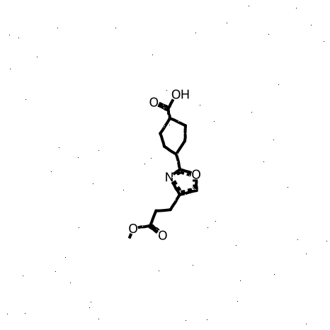 COC(=O)CCc1coc(C2CCC(C(=O)O)CC2)n1